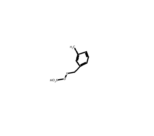 Cc1cccc(CSOS(=O)(=O)O)c1